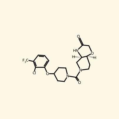 O=C1CO[C@H]2CCN(C(=O)N3CCC(Oc4cccc(C(F)(F)F)c4Cl)CC3)C[C@H]2N1